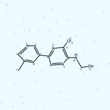 Cc1cncc(-c2cnc(NCO)c(C(F)(F)F)n2)c1